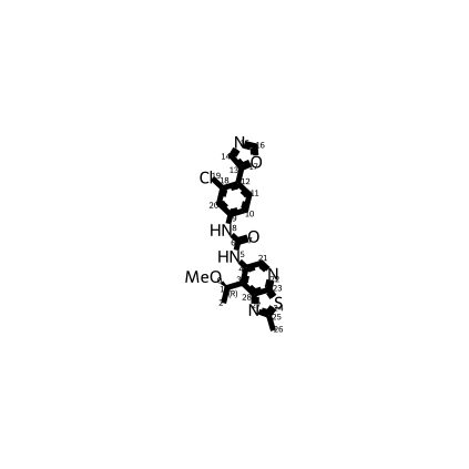 CO[C@H](C)c1c(NC(=O)Nc2ccc(-c3cnco3)c(Cl)c2)cnc2sc(C)nc12